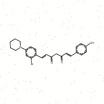 O=C(C=Cc1ccc(O)cc1)CC(=O)C=Cc1ccc(N2CCCCC2)cc1Br